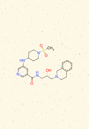 CS(=O)(=O)N1CCC(Nc2cncc(C(=O)NC[C@H](O)CN3CCc4ccccc4C3)c2)CC1